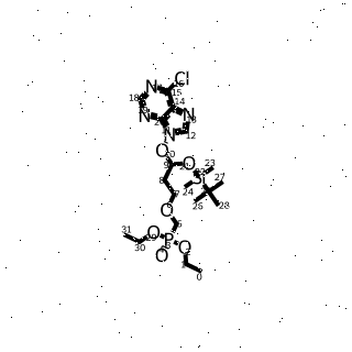 CCOP(=O)(COCCC(On1cnc2c(Cl)ncnc21)O[Si](C)(C)C(C)(C)C)OCC